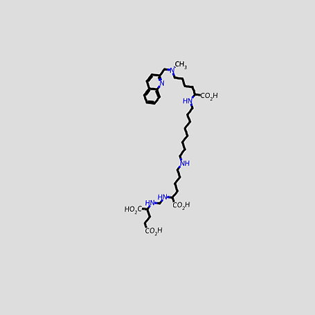 CN(CCCCC(NCCCCCCCCNCCCCC(NCNC(CCC(=O)O)C(=O)O)C(=O)O)C(=O)O)Cc1ccc2ccccc2n1